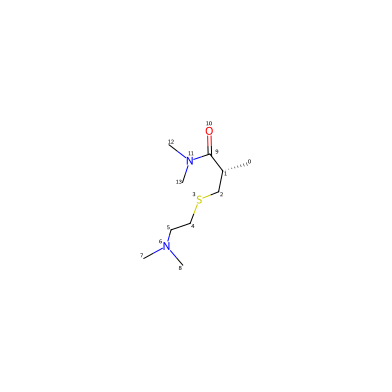 C[C@H](CSCCN(C)C)C(=O)N(C)C